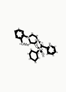 COc1ccccc1N1CCN(CC(c2ccccn2)S(=O)(=O)C2CCCCC2)CC1